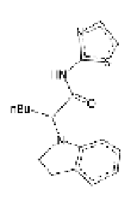 CCCCC(C(=O)Nc1nccs1)N1CCc2ccccc21